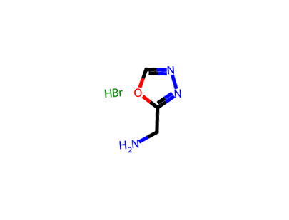 Br.NCc1nnco1